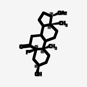 CC(=O)O[C@H]1CCC2C3CC(=O)[C@@]4(F)C[C@H](O)CC[C@]4(C)C3CC[C@@]21C